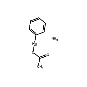 CC(=O)[O][Hg][c]1ccccc1.N